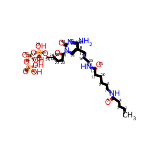 CCCCC(=O)NCCCCCC(=O)NC/C=C/c1cn([C@H]2CC[C@@H](COP(=O)(O)OP(=O)(O)OP(=O)(O)O)O2)c(=O)nc1N